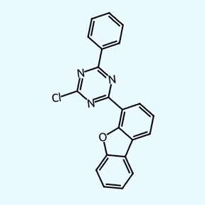 Clc1nc(-c2ccccc2)nc(-c2cccc3c2oc2ccccc23)n1